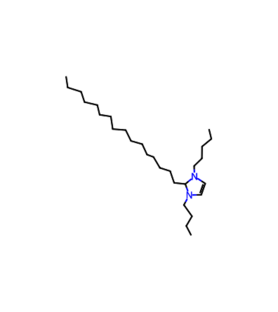 CCCCCCCCCCCCCCCCC1N(CCCC)C=CN1CCCCC